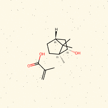 C=C(C)C(=O)O.CC1(C)[C@@H]2CC[C@]1(C)[C@@H](O)C2